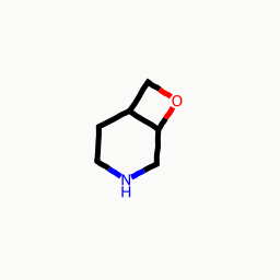 C1CC2COC2CN1